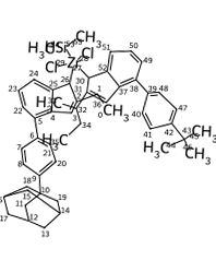 CCC1=Cc2c(-c3ccc(C45CC6CC(CC(C6)C4)C5)cc3)cccc2[CH]1[Zr]([Cl])([Cl])([CH]1C(C(C)CC)=Cc2c(-c3ccc(C(C)(C)C)cc3)cccc21)[SiH](C)C